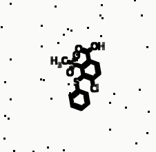 CS(=O)(=O)c1c(C(=O)O)ccc(Cl)c1Sc1ccccc1